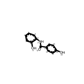 O=C(Nc1c[c]ccc1O)c1ccc(O)cc1